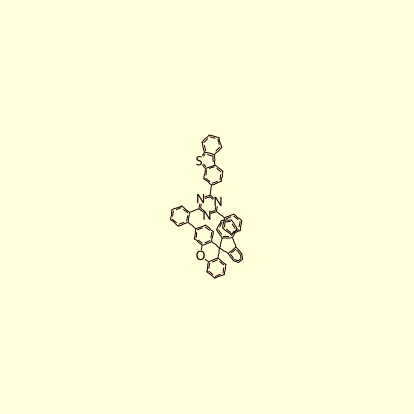 c1ccc(-c2nc(-c3ccc4c(c3)sc3ccccc34)nc(-c3ccccc3-c3ccc4c(c3)Oc3ccccc3C43c4ccccc4-c4ccccc43)n2)cc1